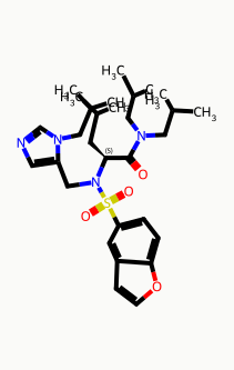 CC(C)C[C@@H](C(=O)N(CC(C)C)CC(C)C)N(Cc1cncn1CC(C)C)S(=O)(=O)c1ccc2occc2c1